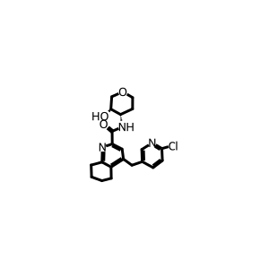 O=C(N[C@H]1CCOC[C@@H]1O)c1cc(Cc2ccc(Cl)nc2)c2c(n1)CCCC2